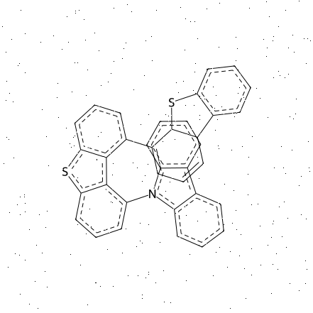 C1=CC2c3ccccc3SC2C(c2cccc3sc4cccc(-n5c6ccccc6c6ccccc65)c4c23)=C1